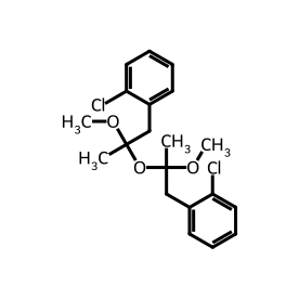 COC(C)(Cc1ccccc1Cl)OC(C)(Cc1ccccc1Cl)OC